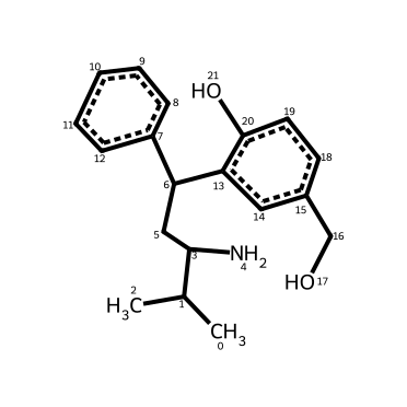 CC(C)C(N)CC(c1ccccc1)c1cc(CO)ccc1O